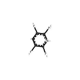 Fc1cc(F)c([P])nc1F